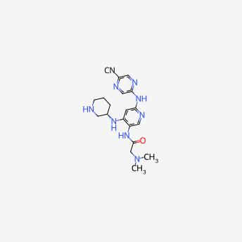 [C-]#[N+]c1cnc(Nc2cc(N[C@@H]3CCCNC3)c(NC(=O)CN(C)C)cn2)cn1